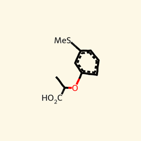 CSc1cccc(OC(C)C(=O)O)c1